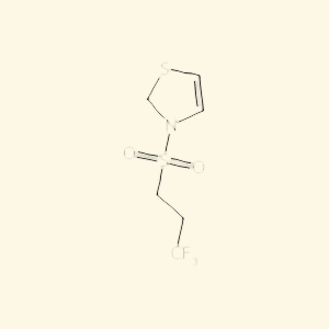 O=S(=O)(CCC(F)(F)F)N1C=CSC1